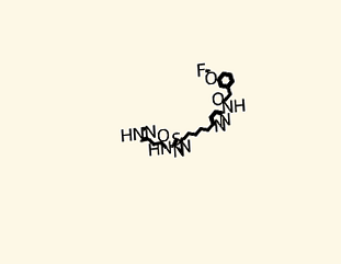 O=C(Cc1cccc(OCF)c1)Nc1ccc(CCCCc2nnc(NC(=O)Cc3c[nH]cn3)s2)nn1